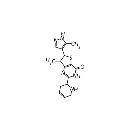 Cc1[nH]ncc1C1Sc2c(nc(C3CC=CCN3)[nH]c2=O)C1C